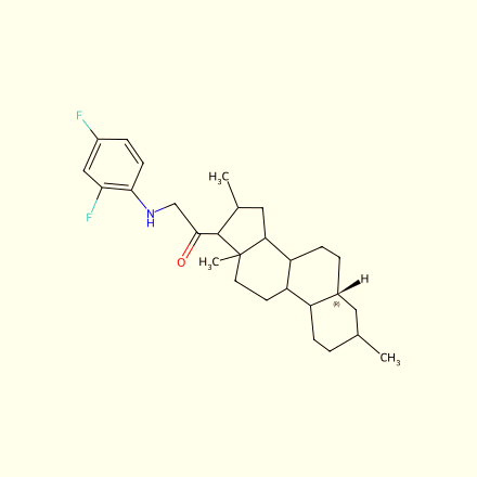 CC1CCC2C3CCC4(C)C(CC(C)C4C(=O)CNc4ccc(F)cc4F)C3CC[C@@H]2C1